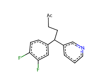 CC(=O)CCC(c1cccnc1)c1ccc(F)c(F)c1